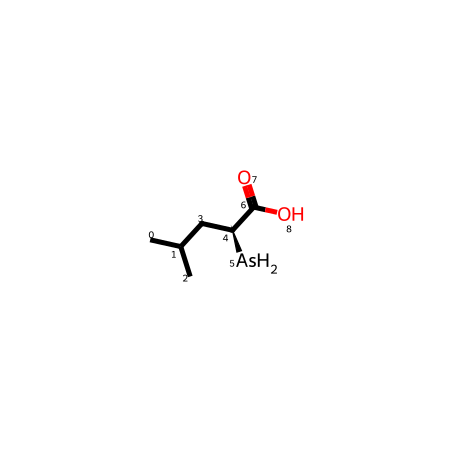 CC(C)C[C@H]([AsH2])C(=O)O